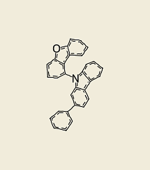 c1ccc(-c2ccc3c4ccccc4n(-c4cccc5oc6ccccc6c45)c3c2)cc1